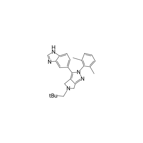 Cc1cccc(C)c1-n1nc2c(c1-c1ccc3[nH]cnc3c1)CN(CC(C)(C)C)C2